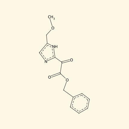 COCc1cnc(C(=O)C(=O)OCc2ccccc2)[nH]1